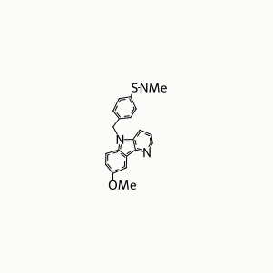 CNSc1ccc(Cn2c3ccc(OC)cc3c3ncccc32)cc1